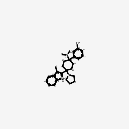 Cc1c(C2(N3CCCC3)CCC(c3cccc(F)c3)(N(C)C)CC2)[nH]c2ccccc12